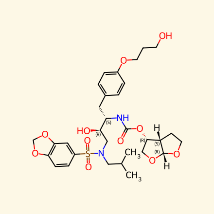 CC(C)CN(C[C@@H](O)[C@H](Cc1ccc(OCCCO)cc1)NC(=O)O[C@H]1CO[C@H]2OCC[C@H]21)S(=O)(=O)c1ccc2c(c1)OCO2